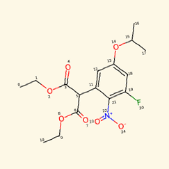 CCOC(=O)C(C(=O)OCC)c1cc(OC(C)C)cc(F)c1[N+](=O)[O-]